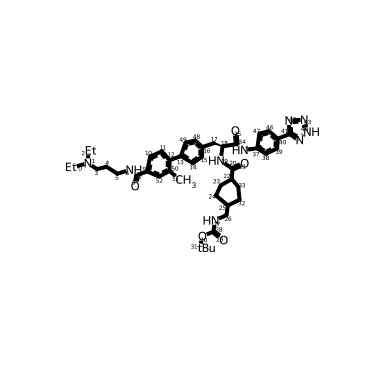 CCN(CC)CCCNC(=O)c1ccc(-c2ccc(C[C@H](NC(=O)C3CCC(CNC(=O)OC(C)(C)C)CC3)C(=O)Nc3ccc(-c4nn[nH]n4)cc3)cc2)c(C)c1